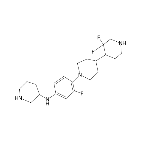 Fc1cc(NC2CCCNC2)ccc1N1CCC(C2CCNCC2(F)F)CC1